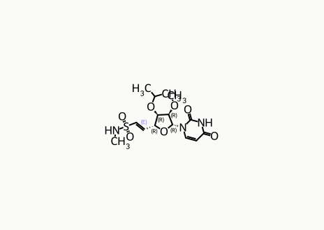 CNS(=O)(=O)/C=C/[C@H]1O[C@@H](n2ccc(=O)[nH]c2=O)[C@H](OC)[C@@H]1OC(C)C